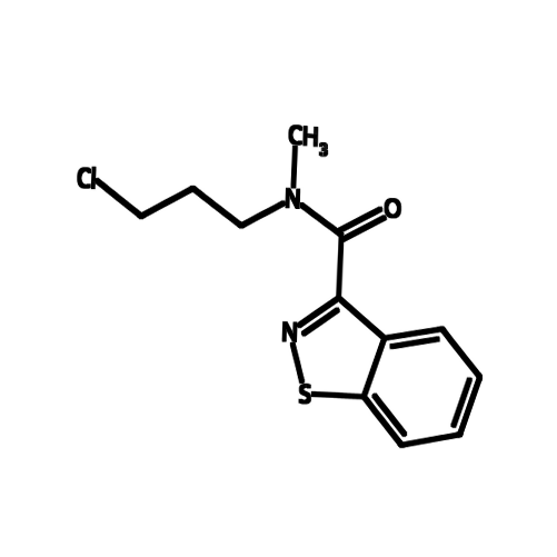 CN(CCCCl)C(=O)c1nsc2ccccc12